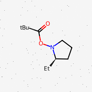 CC[C@@H]1CCCN1OC(=O)C(C)(C)C